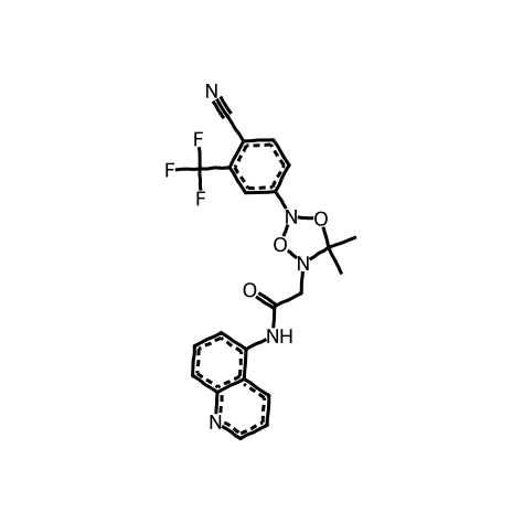 CC1(C)ON(c2ccc(C#N)c(C(F)(F)F)c2)ON1CC(=O)Nc1cccc2ncccc12